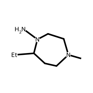 CCC1CCN(C)CCN1N